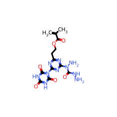 C=C(C)C(=O)OCCc1nc(N(N)C(=O)NN)nc(-n2c(=O)[nH]c(=O)[nH]c2=O)n1